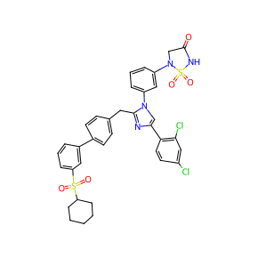 O=C1CN(c2cccc(-n3cc(-c4ccc(Cl)cc4Cl)nc3Cc3ccc(-c4cccc(S(=O)(=O)C5CCCCC5)c4)cc3)c2)S(=O)(=O)N1